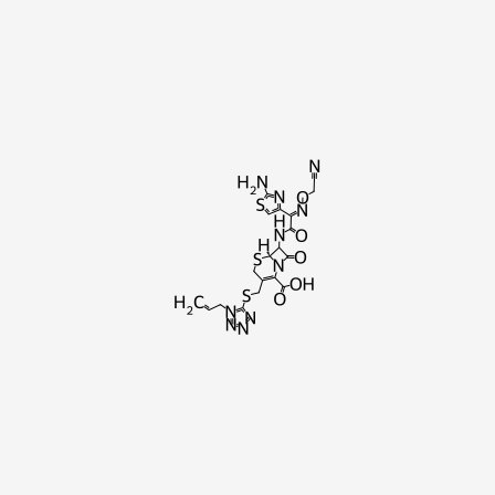 C=CCn1nnnc1SCC1=C(C(=O)O)N2C(=O)C(NC(=O)/C(=N/OCC#N)c3csc(N)n3)[C@H]2SC1